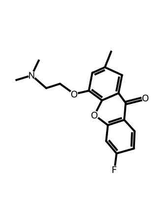 Cc1cc(OCCN(C)C)c2oc3cc(F)ccc3c(=O)c2c1